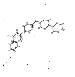 C[C@H](NC(=O)c1ccc(CC2CCN(C3CCCCC3)CC2)cc1)c1ccncc1